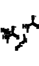 CN=C=S.CNC(=S)[S-].CNC(=S)[S-].[Na+].[Na+]